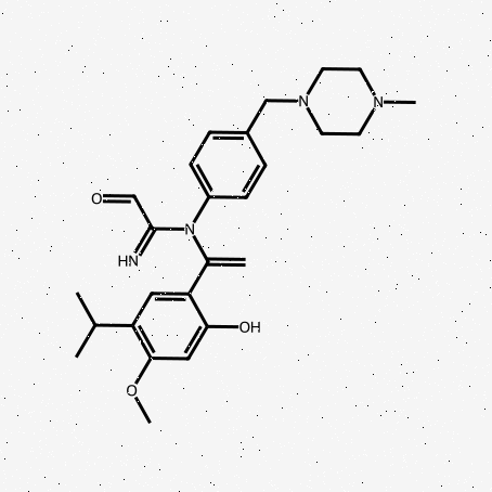 C=C(c1cc(C(C)C)c(OC)cc1O)N(C(=N)C=O)c1ccc(CN2CCN(C)CC2)cc1